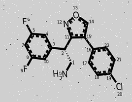 NC[C@H](c1cc(F)cc(F)c1)c1nocc1-c1ccc(Cl)cc1